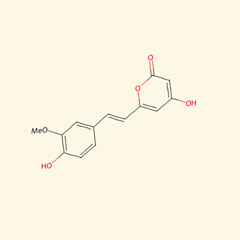 COc1cc(/C=C/c2cc(O)cc(=O)o2)ccc1O